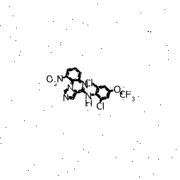 O=[N+]([O-])c1cccc2nc(Nc3c(Cl)cc(OC(F)(F)F)cc3Cl)c3cncn3c12